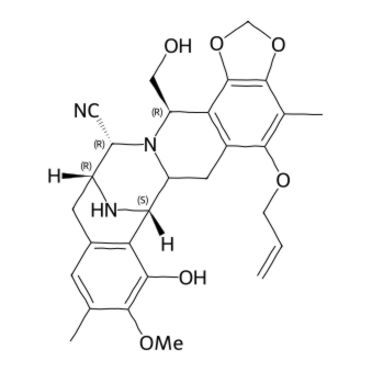 C=CCOc1c(C)c2c(c3c1CC1[C@H]4N[C@H](Cc5cc(C)c(OC)c(O)c54)[C@H](C#N)N1[C@H]3CO)OCO2